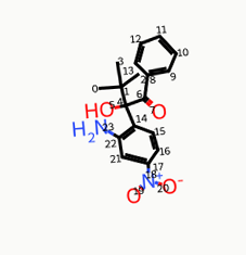 CC(C)(C)C(O)(C(=O)c1ccccc1)c1ccc([N+](=O)[O-])cc1N